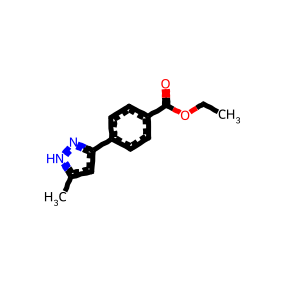 CCOC(=O)c1ccc(-c2cc(C)[nH]n2)cc1